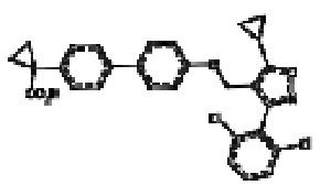 O=C(O)C1(c2ccc(-c3ccc(OCc4c(-c5c(Cl)cccc5Cl)noc4C4CC4)cc3)cc2)CC1